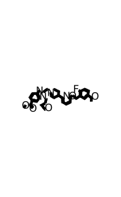 COC(=O)c1ccc2nc(CN3CCC(c4cccc(OCc5cc(C(C)=O)ccc5F)n4)CC3)n(CC3CCO3)c2c1